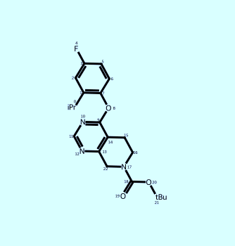 CC(C)c1cc(F)ccc1Oc1ncnc2c1CCN(C(=O)OC(C)(C)C)C2